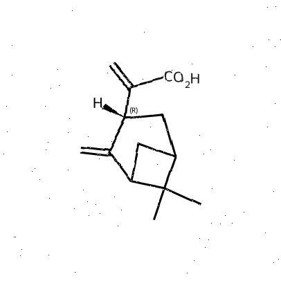 C=C(C(=O)O)[C@@H]1CC2CC(C1=C)C2(C)C